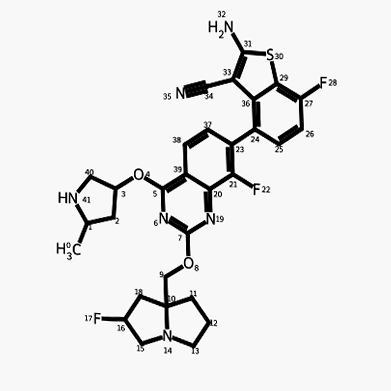 CC1CC(Oc2nc(OCC34CCCN3CC(F)C4)nc3c(F)c(-c4ccc(F)c5sc(N)c(C#N)c45)ccc23)CN1